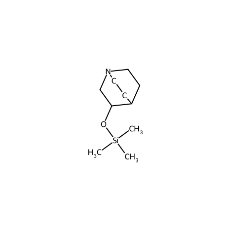 C[Si](C)(C)OC1CN2CCC1CC2